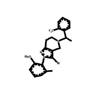 Cc1cccc(OCC(C)C)c1-n1nc2c(c1Br)CN(C(C)c1ccccc1C(F)(F)F)CC2